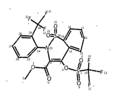 COC(=O)C1=C(OS(=O)(=O)C(F)(F)F)c2ccccc2S(=O)(=O)N1c1ccccc1C(F)(F)F